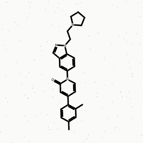 Cc1ccc(-c2ccn(-c3ccc4c(cnn4CCN4CCCC4)c3)c(=O)c2)c(C)c1